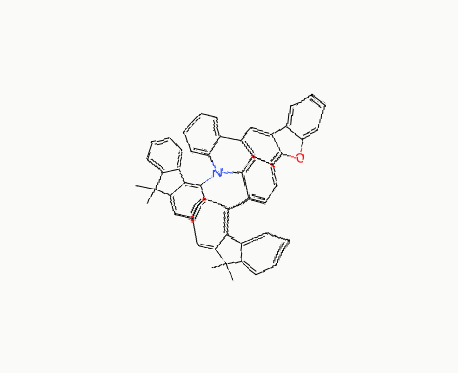 CC1(C)c2ccccc2-c2c(-c3ccccc3N(c3ccccc3-c3ccc4oc5ccccc5c4c3)c3cccc4c3-c3ccccc3C4(C)C)cccc21